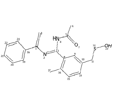 C=C(/N=C(\NC(C)=O)c1cc(CSO)ccc1C)c1ccccc1